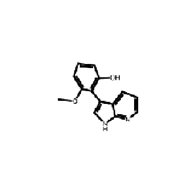 COc1c[c]cc(O)c1-c1c[nH]c2ncccc12